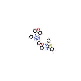 c1ccc(-c2nc(-c3ccc4c(c3)oc3c(-c5nc(-c6ccccc6)c6sc7ccccc7c6n5)cccc34)nc(-c3cccc4oc5ccccc5c34)n2)cc1